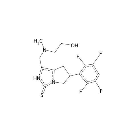 CN(CCO)Cc1[nH]c(=S)n2c1CC(c1c(F)c(F)cc(F)c1F)C2